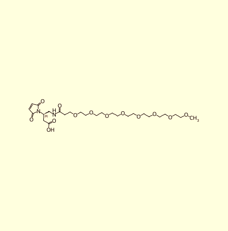 COCCOCCOCCOCCOCCOCCOCCOCCC(=O)NC[C@@H](CC(=O)O)N1C(=O)C=CC1=O